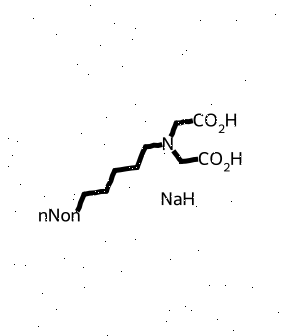 CCCCCCCCCCCCCCN(CC(=O)O)CC(=O)O.[NaH]